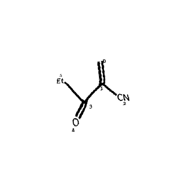 C=C(C#N)C(=O)CC